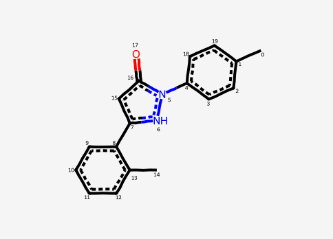 Cc1ccc(-n2[nH]c(-c3ccccc3C)cc2=O)cc1